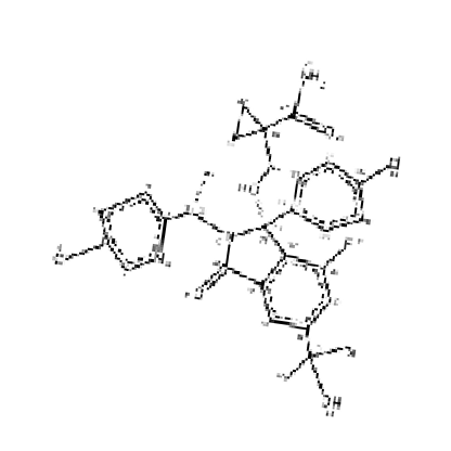 C[C@@H](c1ccc(Cl)cn1)N1C(=O)c2cc(C(C)(C)O)cc(F)c2[C@]1(OCC1(C(N)=O)CC1)c1ccc(Cl)cc1